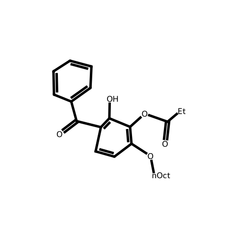 CCCCCCCCOc1ccc(C(=O)c2ccccc2)c(O)c1OC(=O)CC